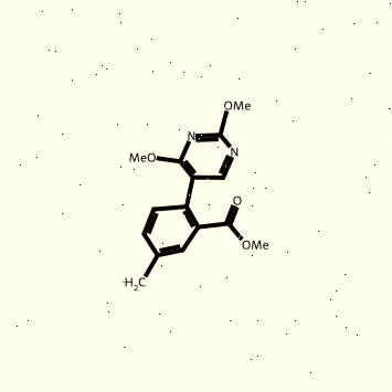 [CH2]c1ccc(-c2cnc(OC)nc2OC)c(C(=O)OC)c1